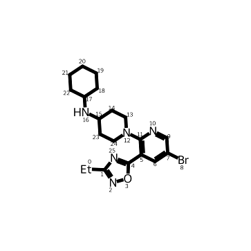 CCc1noc(-c2cc(Br)cnc2N2CCC(NC3CCCCC3)CC2)n1